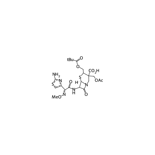 CON=C(C(=O)NC1C(=O)N2CC(COC(C)=O)(C(=O)O)C(COC(=O)C(C)(C)C)S[C@H]12)c1csc(N)n1